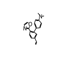 C=Cc1ccc(-c2ncco2)c(-c2ccc(N(C)C)cc2)c1